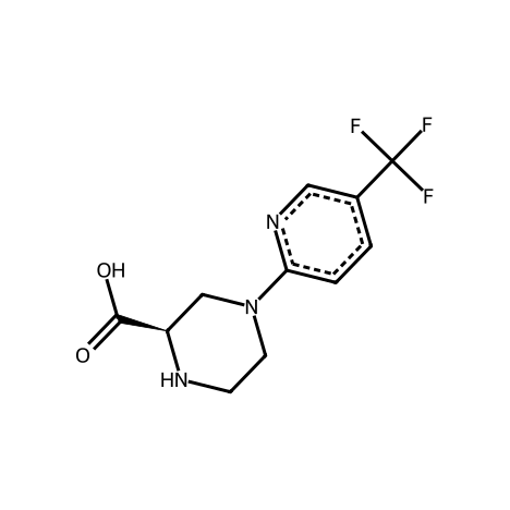 O=C(O)[C@H]1CN(c2ccc(C(F)(F)F)cn2)CCN1